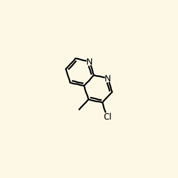 Cc1c(Cl)cnc2ncccc12